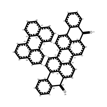 O=C1c2ccccc2-c2ccc3c4ccc5c6c(ccc(c7ccc1c2c73)c64)C(=O)c1ccccc1-5.c1cc2cccc3c4cccc5cccc(c(c1)c23)c54